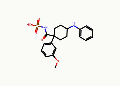 COc1cccc(C2(C(=O)NS(=O)(=O)O)CCC(Nc3ccccc3)CC2)c1